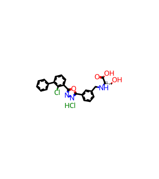 Cl.O=C(O)[C@H](CO)NCc1cccc(-c2nnc(-c3cccc(-c4ccccc4)c3Cl)o2)c1